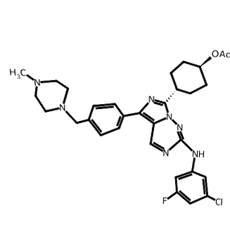 CC(=O)O[C@H]1CC[C@H](c2nc(-c3ccc(CN4CCN(C)CC4)cc3)c3cnc(Nc4cc(F)cc(Cl)c4)nn32)CC1